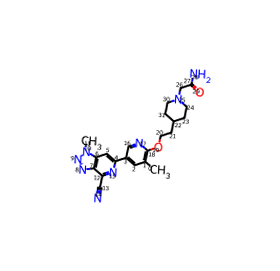 Cc1cc(-c2cc3c(nnn3C)c(C#N)n2)cnc1OCCC1CCN(CC(N)=O)CC1